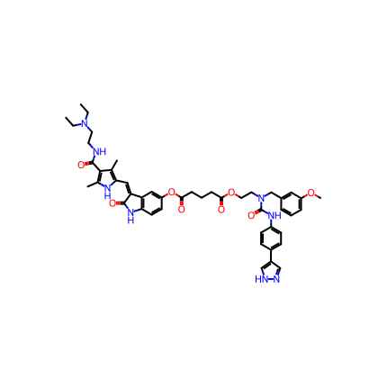 CCN(CC)CCNC(=O)c1c(C)[nH]c(/C=C2\C(=O)Nc3ccc(OC(=O)CCCC(=O)OCCN(Cc4cccc(OC)c4)C(=O)Nc4ccc(-c5cn[nH]c5)cc4)cc32)c1C